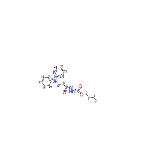 CCCCOC(=O)NNC(=O)CCN(c1ccccc1)c1ncccn1